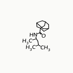 CC(C)CC(C)NC(=O)C12CC3CC(CC(C3)C1)C2